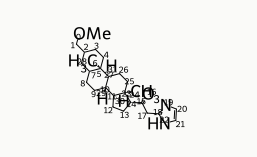 COCC1CC[C@@]2(C)C(CC[C@H]3[C@@H]4CC[C@H](C(=O)Cc5ncc[nH]5)[C@@]4(C)CC[C@@H]32)C1